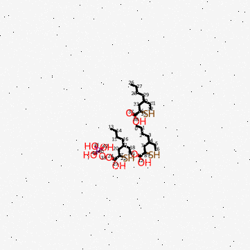 CCCCC(CC)CC(S)C(=O)O.CCCCC(CC)CC(S)C(=O)O.CCCCC(CC)CC(S)C(=O)O.O=P(O)(O)O